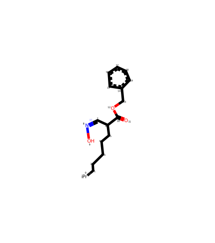 CC(C)CCCCCC(/C=N\O)C(=O)OCc1ccccc1